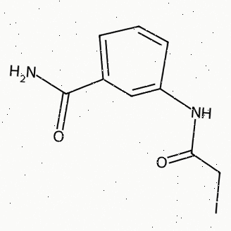 NC(=O)c1cccc(NC(=O)CI)c1